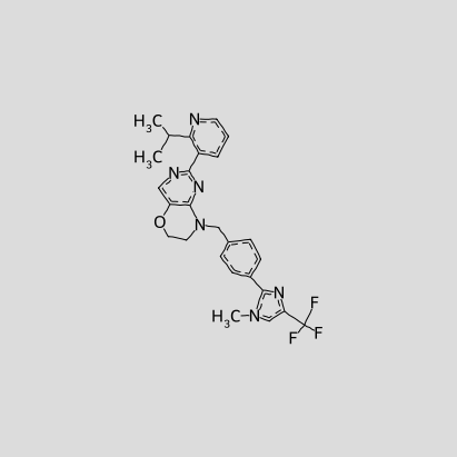 CC(C)c1ncccc1-c1ncc2c(n1)N(Cc1ccc(-c3nc(C(F)(F)F)cn3C)cc1)CCO2